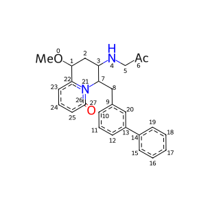 COC1CC(NCC(C)=O)C(Cc2cccc(-c3ccccc3)c2)n2c1cccc2=O